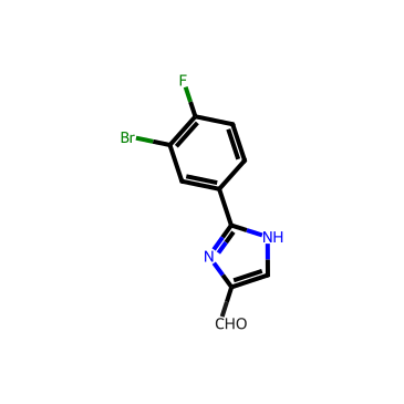 O=Cc1c[nH]c(-c2ccc(F)c(Br)c2)n1